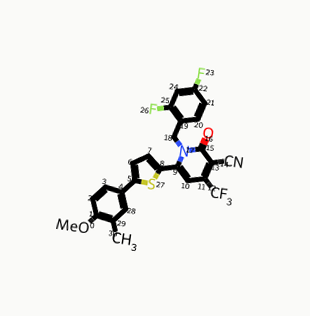 COc1ccc(-c2ccc(-c3cc(C(F)(F)F)c(C#N)c(=O)n3Cc3ccc(F)cc3F)s2)cc1C